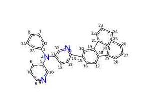 c1ccc(N(c2cccnc2)c2ccc(-c3ccc4c(c3)-c3cccc5cccc-4c35)nc2)cc1